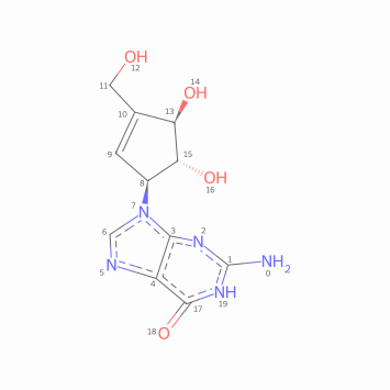 Nc1nc2c(ncn2[C@H]2C=C(CO)[C@@H](O)[C@@H]2O)c(=O)[nH]1